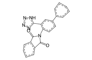 O=C1c2ccccc2C(=O)N1c1ccc(-c2ccccc2)cc1-c1nnn[nH]1